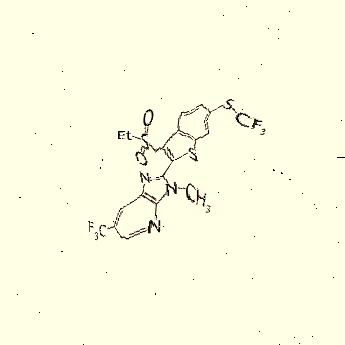 CCS(=O)(=O)c1c(-c2nc3cc(C(F)(F)F)cnc3n2C)sc2cc(SC(F)(F)F)ccc12